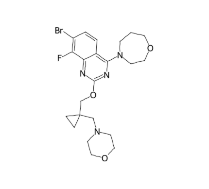 Fc1c(Br)ccc2c(N3CCCOCC3)nc(OCC3(CN4CCOCC4)CC3)nc12